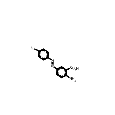 Nc1ccc(/N=N/c2ccc(S)cc2)cc1S(=O)(=O)O